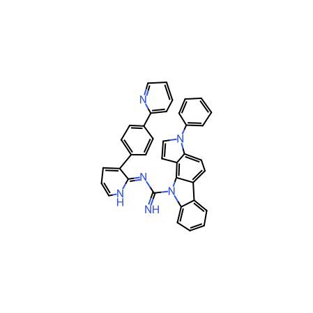 N=C(/N=c1\[nH]cccc1-c1ccc(-c2ccccn2)cc1)n1c2ccccc2c2ccc3c(ccn3-c3ccccc3)c21